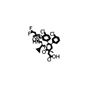 CC(C)(CC(F)F)S(=O)(=O)NC[C@H](C1CC1)N1C(=O)[C@@](C)(CC(=O)O)C[C@H](c2cccc(Cl)c2)[C@H]1c1ccc(Cl)cc1